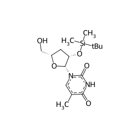 Cc1cn([C@@H]2O[C@H](CO)C[C@@H]2O[Si](C)(C)C(C)(C)C)c(=O)[nH]c1=O